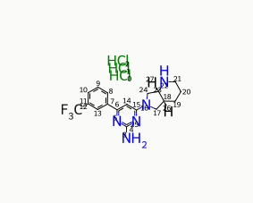 Cl.Cl.Cl.Nc1nc(-c2cccc(C(F)(F)F)c2)cc(N2C[C@H]3CCCN[C@H]3C2)n1